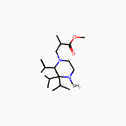 COC(=O)C(C)CN1CCN([SiH3])C(C(C)C)(C(C)C)C1C(C)C